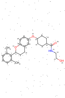 Cc1cccc(C)c1C1CCc2cc(OC3CCC(C(=O)NCCO)CC3)ccc2O1